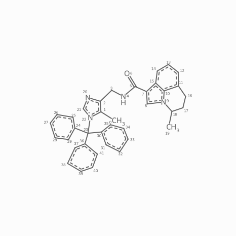 Cc1c(CNC(=O)c2cn3c4c(cccc24)CCC3C)ncn1C(c1ccccc1)(c1ccccc1)c1ccccc1